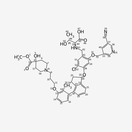 COC(=O)C1(O)CCN(CCCOc2cccc(-c3cccc4c3CC[C@@H]4Oc3cc(OCc4cncc(C#N)c4)c(CN[C@H](C(=O)O)[C@@H](C)O)cc3Cl)c2C)CC1